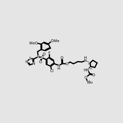 COc1ccc(CN(c2ncns2)S(=O)(=O)c2cc(Cl)c(NC(=O)OCCCCN[C@@H]3CCC[C@H]3NC(=O)OC(C)(C)C)cc2F)c(OC)c1